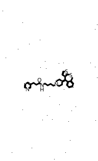 O=C(CCc1cccnc1)NCCCCN1CCC(=C2c3ccccc3CSc3sccc32)CC1